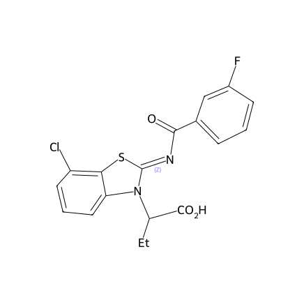 CCC(C(=O)O)n1/c(=N/C(=O)c2cccc(F)c2)sc2c(Cl)cccc21